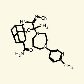 Cc1ccc(N2CCCN(C(C)(C)/C(=N\C#N)NC3C4CC5CC3CC(C(N)=O)(C5)C4)CC2)cn1